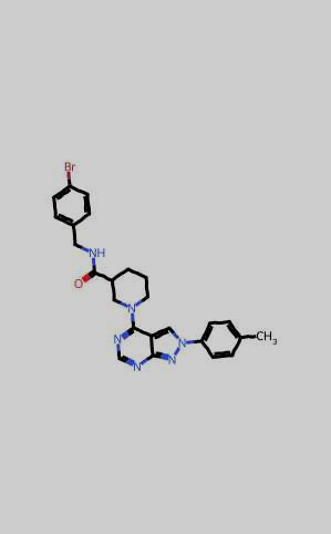 Cc1ccc(-n2cc3c(N4CCCC(C(=O)NCc5ccc(Br)cc5)C4)ncnc3n2)cc1